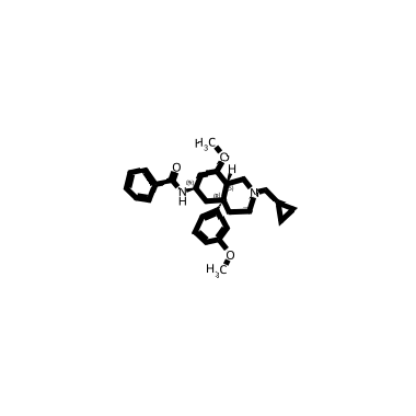 COc1cccc([C@@]23CCN(CC4CC4)C[C@H]2C(OC)C[C@H](NC(=O)c2ccccc2)C3)c1